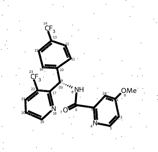 COc1ccnc(C(=O)N[C@@H](c2ccc(C(F)(F)F)cc2)c2ncccc2C(F)(F)F)c1